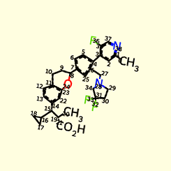 Cc1cc(-c2ccc(C3CCc4ccc([C@H](C5CC5)[C@H](C)C(=O)O)cc4O3)cc2CN2CCC(F)(F)C2)c(F)cn1